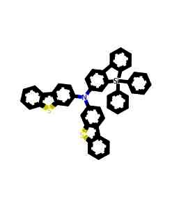 c1ccc([Si]2(c3ccccc3)c3ccccc3-c3ccc(N(c4ccc5c(c4)sc4ccccc45)c4ccc5c(c4)sc4ccccc45)cc32)cc1